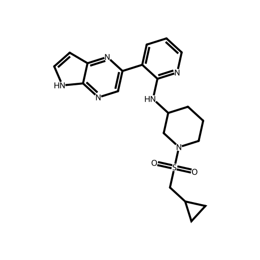 O=S(=O)(CC1CC1)N1CCCC(Nc2ncccc2-c2cnc3[nH]ccc3n2)C1